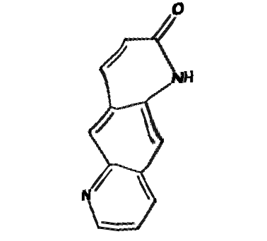 O=c1ccc2cc3ncccc3cc2[nH]1